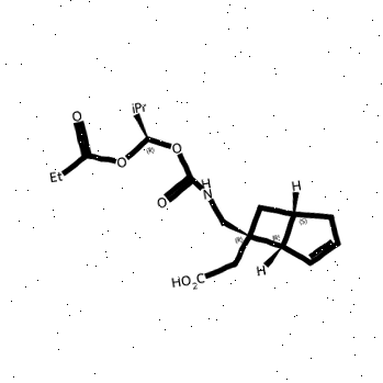 CCC(=O)O[C@H](OC(=O)NC[C@@]1(CC(=O)O)C[C@@H]2CC=C[C@@H]21)C(C)C